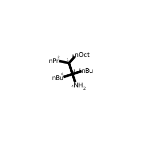 CCCCCCCCC(CCC)C(N)(CCCC)CCCC